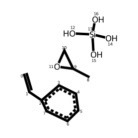 C=Cc1ccccc1.CC1CO1.O[Si](O)(O)O